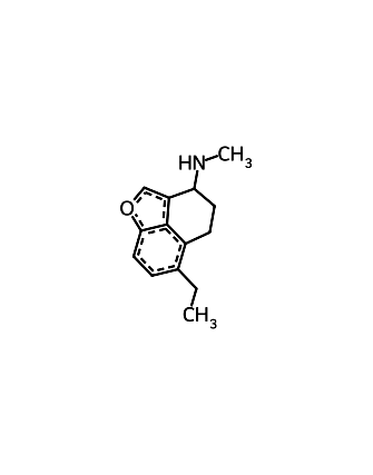 CCc1ccc2occ3c2c1CCC3NC